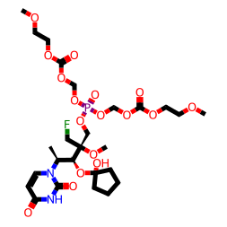 COCCOC(=O)OCOP(=O)(OCOC(=O)OCCOC)OC[C@@](CF)(OC)[C@@H](OC1(O)CCCC1)[C@H](C)n1ccc(=O)[nH]c1=O